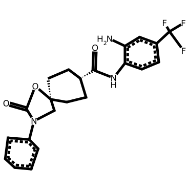 Nc1cc(C(F)(F)F)ccc1NC(=O)[C@H]1CC[C@]2(CC1)CN(c1ccccc1)C(=O)O2